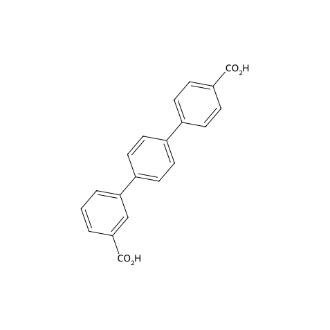 O=C(O)c1ccc(-c2ccc(-c3cccc(C(=O)O)c3)cc2)cc1